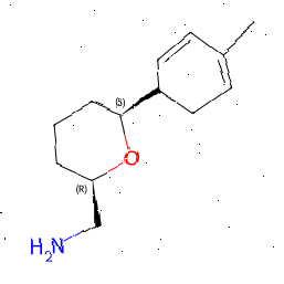 CC1=CCC([C@@H]2CCC[C@H](CN)O2)C=C1